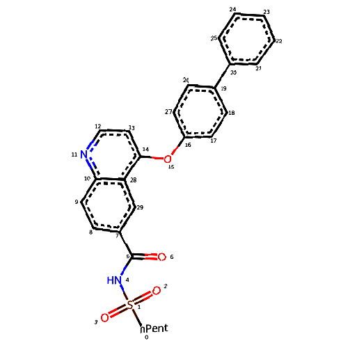 CCCCCS(=O)(=O)NC(=O)c1ccc2nccc(Oc3ccc(-c4ccccc4)cc3)c2c1